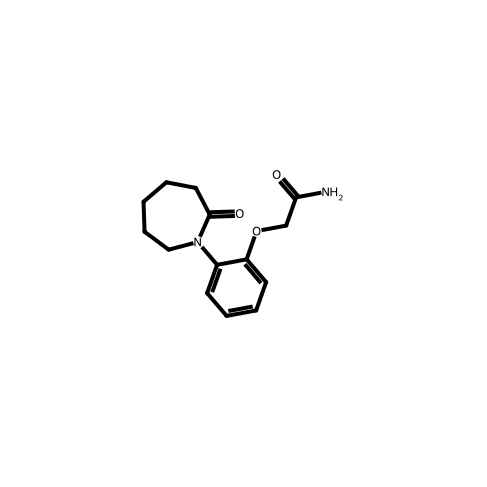 NC(=O)COc1ccccc1N1CCCCCC1=O